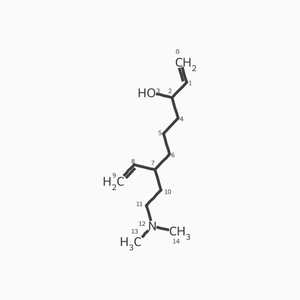 C=CC(O)CCCC(C=C)CCN(C)C